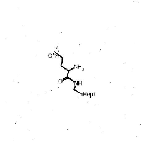 CCCCCCCCNC(=O)C(N)CC[S@@+](C)[O-]